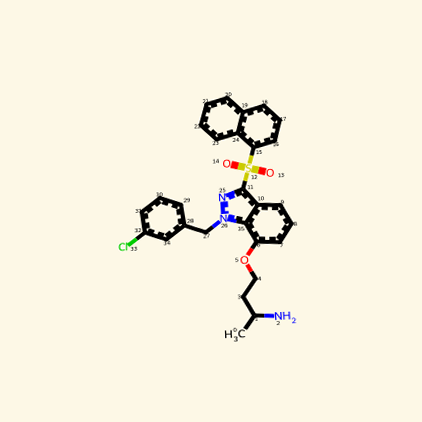 CC(N)CCOc1cccc2c(S(=O)(=O)c3cccc4ccccc34)nn(Cc3cccc(Cl)c3)c12